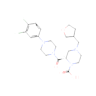 O=C([C@H]1CN(CC2CCOC2)CCN1C(=O)O)N1CCN(c2ccc(Cl)c(Cl)c2)CC1